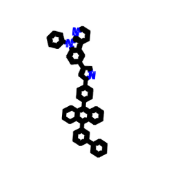 C1=Cc2c(c(-c3cccc(-c4ccccc4)c3)c3ccccc3c2-c2ccc(C3C=C(c4ccc5c(c4)c4cccnc4n5-c4ccccc4)C=N3)cc2)CC1